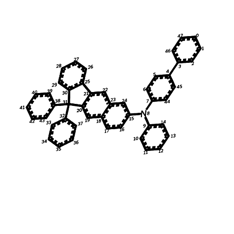 c1ccc(-c2ccc(N(c3ccccc3)c3ccc4cc5c(cc4c3)-c3ccccc3C5(c3ccccc3)c3ccccc3)cc2)cc1